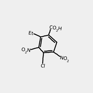 CCc1c(C(=O)O)cc([N+](=O)[O-])c(Cl)c1[N+](=O)[O-]